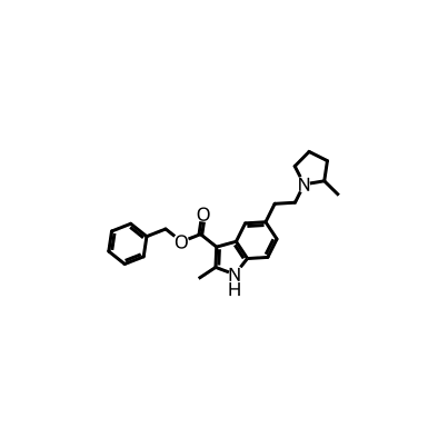 Cc1[nH]c2ccc(CCN3CCCC3C)cc2c1C(=O)OCc1ccccc1